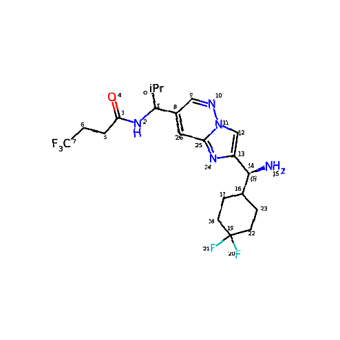 CC(C)C(NC(=O)CCC(F)(F)F)c1cnn2cc([C@@H](N)C3CCC(F)(F)CC3)nc2c1